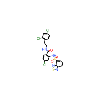 O=C(NCCc1ccc(Cl)cc1Cl)c1ccc(Cl)cc1NS(=O)(=O)c1cccc2nsnc12